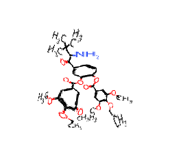 CCOc1c(OC)cc(C(=O)Oc2ccc(C(=O)C(N)C(C)(C)C)cc2OC(=O)c2cc(OC)c(OCC)c(OC)c2)cc1OC